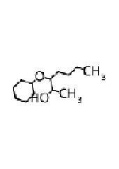 CCCCC(OC1CCCCC1)C(C)O